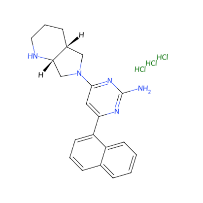 Cl.Cl.Cl.Nc1nc(-c2cccc3ccccc23)cc(N2C[C@H]3CCCN[C@H]3C2)n1